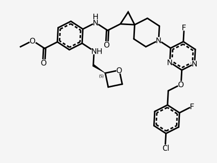 COC(=O)c1ccc(NC(=O)C2CC23CCN(c2nc(OCc4ccc(Cl)cc4F)ncc2F)CC3)c(NC[C@@H]2CCO2)c1